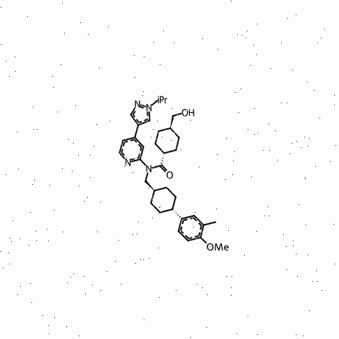 COc1ccc([C@H]2CC[C@H](CN(c3cc(-c4cnn(C(C)C)c4)ccn3)C(=O)[C@H]3CC[C@H](CO)CC3)CC2)cc1C